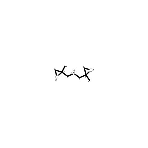 CC1(CNCC2(C)CO2)CO1